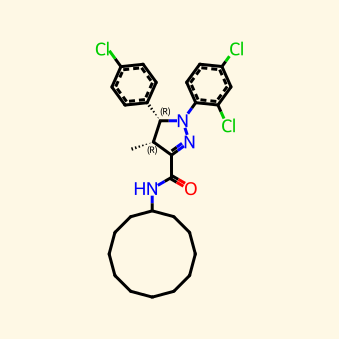 C[C@H]1C(C(=O)NC2CCCCCCCCCCC2)=NN(c2ccc(Cl)cc2Cl)[C@H]1c1ccc(Cl)cc1